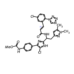 COC(=O)Nc1ccc(-c2nc(C(Cc3cc(C)n(C)n3)NC(=O)/C=C/c3cc(Cl)ccc3-n3cnnn3)[nH]c2Cl)cc1